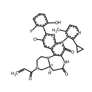 C=CC(=O)N1CCN2c3c(c(=O)n(-c4c(C)ccnc4C4CC4)c4nc(-c5c(O)cccc5F)c(Cl)cc34)NC(=O)C[C@H]2C1